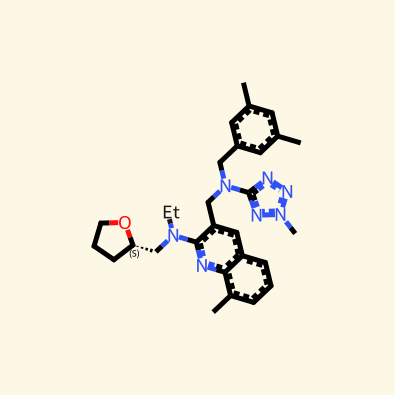 CCN(C[C@@H]1CCCO1)c1nc2c(C)cccc2cc1CN(Cc1cc(C)cc(C)c1)c1nnn(C)n1